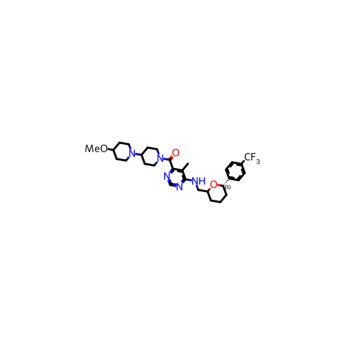 COC1CCN(C2CCN(C(=O)c3ncnc(NCC4CCC[C@@H](c5ccc(C(F)(F)F)cc5)O4)c3C)CC2)CC1